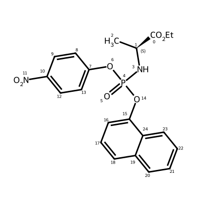 CCOC(=O)[C@H](C)NP(=O)(Oc1ccc([N+](=O)[O-])cc1)Oc1cccc2ccccc12